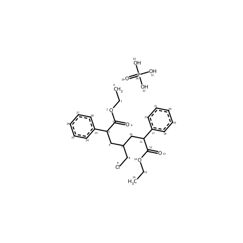 CCOC(=O)C(CC(CCl)CC(C(=O)OCC)c1ccccc1)c1ccccc1.O=P(O)(O)O